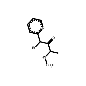 CCC(C(=O)C(C)NC(=O)O)c1ccccn1